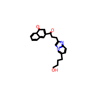 O=C(CCc1cn2cc(CCCCO)ccc2n1)C1=CC(=O)C2C=CC=CC2=C1